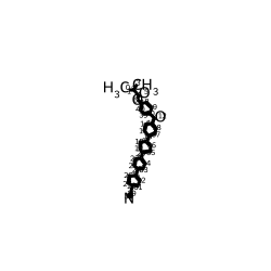 CCC(C)C(=O)Oc1ccc(C(=O)c2ccc(-c3ccc(-c4ccc(-c5ccc(C#N)cc5)cc4)cc3)cc2)cc1